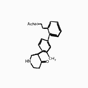 CC(=O)NCCc1ccccc1-c1ccc(C2CNCCC2=O)c(C)c1